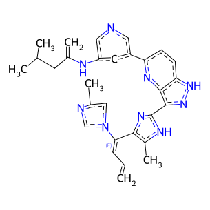 C=C/C=C(\c1nc(-c2n[nH]c3ccc(-c4cncc(NC(=C)CC(C)C)c4)nc23)[nH]c1C)n1cnc(C)c1